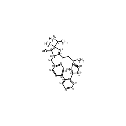 CCCCC1=NC(C)(C(C)C)C(=O)N1Cc1ccc(-c2ccccc2-c2nnn[nH]2)cc1